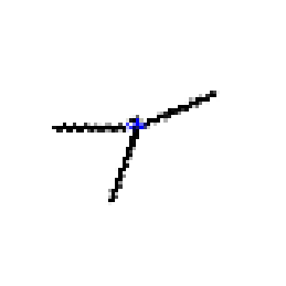 CCCCCCCCCCCCCCCN1C=CN(CCCCCCCCCCCCCC)C1CCCCCCCCCCCCCC